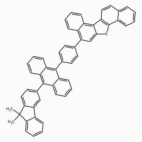 CC1(C)c2ccccc2-c2cc(-c3c4ccccc4c(-c4ccc(-c5cc6sc7c8ccccc8ccc7c6c6ccccc56)cc4)c4ccccc34)ccc21